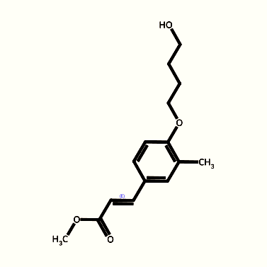 COC(=O)/C=C/c1ccc(OCCCCO)c(C)c1